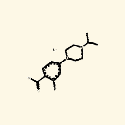 CC(C)N1CCN(c2ccc(C(=O)[O-])c(F)c2)CC1.[Li+]